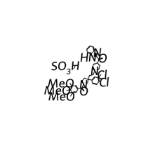 COc1cc(C(=O)N2CCC(CCN3CCC(C(=O)c4nc5ccccc5[nH]4)CC3)(c3ccc(Cl)c(Cl)c3)C2)cc(OC)c1OC.CS(=O)(=O)O